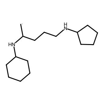 [CH2]C(CCCNC1CCCC1)NC1CCCCC1